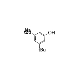 CC(C)(C)c1cc(O)cc(C(C)(C)C)c1.[Na]